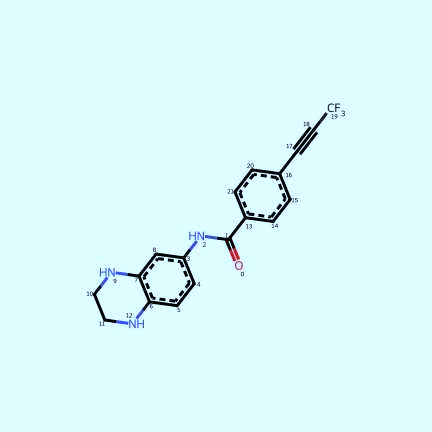 O=C(Nc1ccc2c(c1)NCCN2)c1ccc(C#CC(F)(F)F)cc1